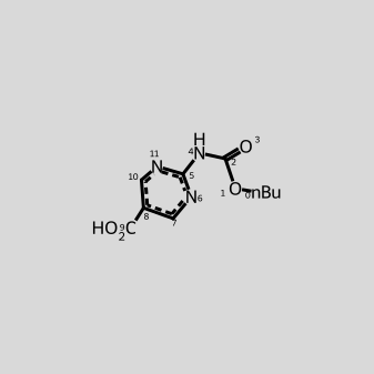 CCCCOC(=O)Nc1ncc(C(=O)O)cn1